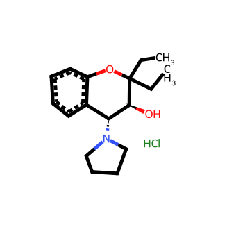 CCC1(CC)Oc2ccccc2[C@@H](N2CCCC2)[C@@H]1O.Cl